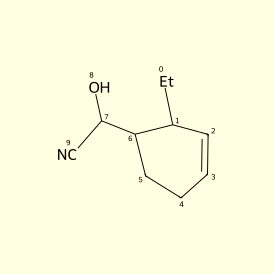 CCC1C=CCCC1C(O)C#N